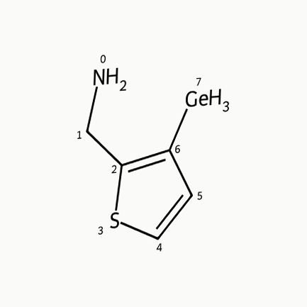 NCc1scc[c]1[GeH3]